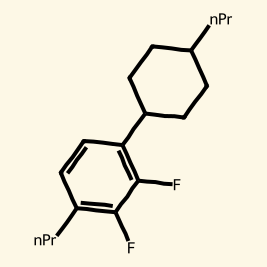 CCCc1ccc(C2CCC(CCC)CC2)c(F)c1F